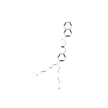 CCSCCSCCN(CCSCCSCC)c1ccc(CC(=O)CN(C)c2ccc3cc(C(C)=O)ccc3c2)cc1